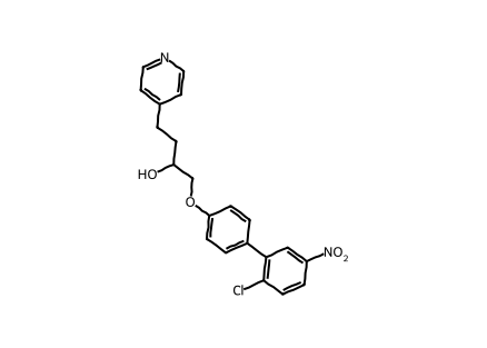 O=[N+]([O-])c1ccc(Cl)c(-c2ccc(OCC(O)CCc3ccncc3)cc2)c1